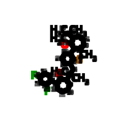 CSc1c(CC(C)(C)c2ccccc(-c3ccc(F)cc3F)c2=O)cccc1-c1ccccc(C(C)(C)C)c1=O